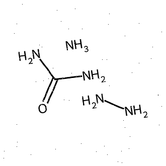 N.NC(N)=O.NN